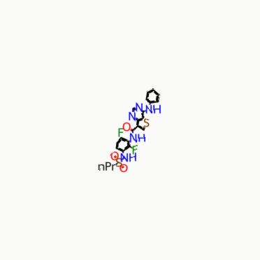 CCCS(=O)(=O)Nc1ccc(F)c(NC(=O)c2csc3c(Nc4ccccc4)ncnc23)c1F